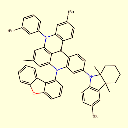 Cc1cc2c3c(c1)N(c1cccc4oc5ccccc5c14)c1cc(N4c5ccc(C(C)(C)C)cc5C5(C)CCCCC45C)ccc1B3c1ccc(C(C)(C)C)cc1N2c1cccc(C(C)(C)C)c1